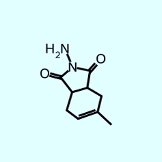 CC1=CCC2C(=O)N(N)C(=O)C2C1